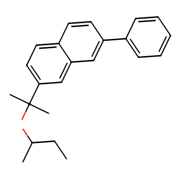 CCC(C)OC(C)(C)c1ccc2ccc(-c3ccccc3)cc2c1